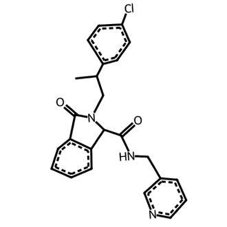 CC(CN1C(=O)c2ccccc2C1C(=O)NCc1cccnc1)c1ccc(Cl)cc1